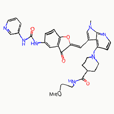 COCCNC(=O)C1CCN(c2ccnc3c2c(C=C2Oc4ccc(NC(=O)Nc5cccnc5)cc4C2=O)cn3C)CC1